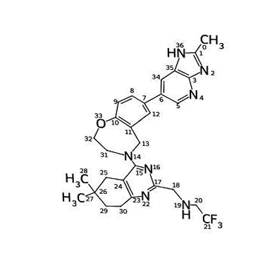 Cc1nc2ncc(-c3ccc4c(c3)CN(c3nc(CNCC(F)(F)F)nc5c3CC(C)(C)CC5)CCO4)cc2[nH]1